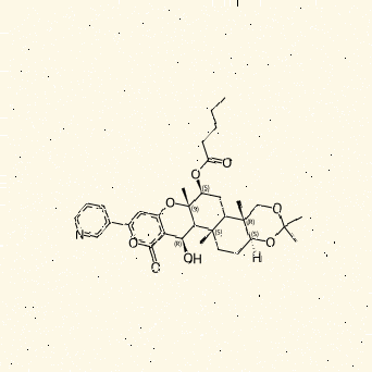 CCCCC(=O)O[C@H]1CC2[C@](C)(CC[C@@H]3OC(C)(C)OC[C@@]23C)C2[C@@H](O)c3c(cc(-c4cccnc4)oc3=O)O[C@@]21C